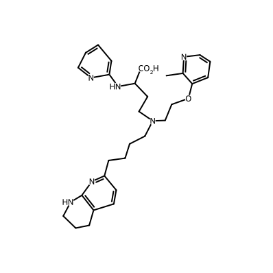 Cc1ncccc1OCCN(CCCCc1ccc2c(n1)NCCC2)CCC(Nc1ccccn1)C(=O)O